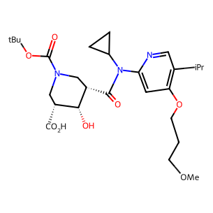 COCCCOc1cc(N(C(=O)[C@H]2CN(C(=O)OC(C)(C)C)C[C@@H](C(=O)O)[C@H]2O)C2CC2)ncc1C(C)C